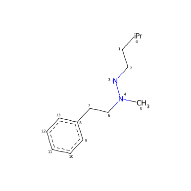 CC(C)CC[N]N(C)CCc1ccccc1